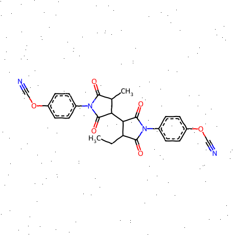 CCC1C(=O)N(c2ccc(OC#N)cc2)C(=O)C1C1C(=O)N(c2ccc(OC#N)cc2)C(=O)C1C